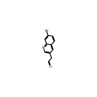 O=CCc1cnc2cc(Br)ccc2c1